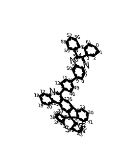 c1ccc(-c2nc3ccc(-c4ccc(-c5nc6ccccc6c6cc7c(cc56)-c5ccccc5C75c6ccccc6Sc6ccccc65)cc4)cc3nc2-c2ccccc2)cc1